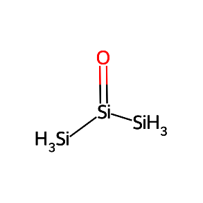 O=[Si]([SiH3])[SiH3]